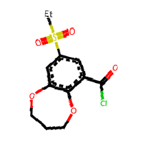 CCS(=O)(=O)c1cc2c(c(C(=O)Cl)c1)OCCCO2